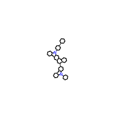 c1ccc(-c2ccc(-n3c4ccccc4c4cc5cc(-c6ccc7c(c6)c6ccccc6n7-c6ccccc6)c6ccccc6c5cc43)cc2)cc1